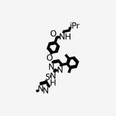 Cc1cccc(C)c1-c1cc(Oc2ccc(C(=O)NCCC(C)C)cc2)nc(NSc2cnn(C)c2)n1